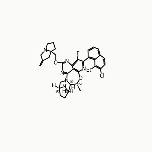 C=C1CN2CCCC2(COc2nc3c4c(nc(-c5cccc6ccc(Cl)c(CC)c56)c(F)c4n2)O[C@@H](C)[C@@H]2[C@@H]4CC[C@H](CN32)N4)C1